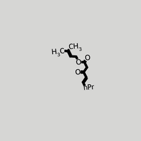 CCCC=CC(=O)CC(=O)OCC=C(C)C